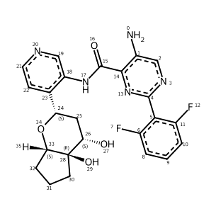 Nc1cnc(-c2c(F)cccc2F)nc1C(=O)Nc1cnccc1[C@@H]1C[C@H](O)[C@]2(O)CCC[C@@H]2O1